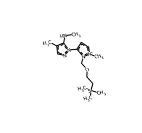 CNc1c(C)cnn1-c1cc[n+](C)n1COCC[Si](C)(C)C